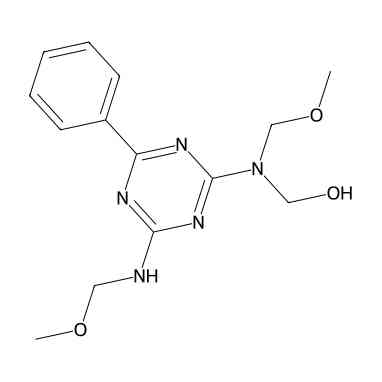 COCNc1nc(-c2ccccc2)nc(N(CO)COC)n1